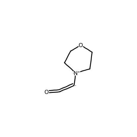 O=C=[C][N+]1CCOCC1